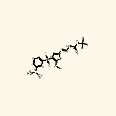 CSc1sc(/N=C/NC(=O)OC(C)(C)C)cc1S(=O)(=O)c1cccc(B(O)O)c1